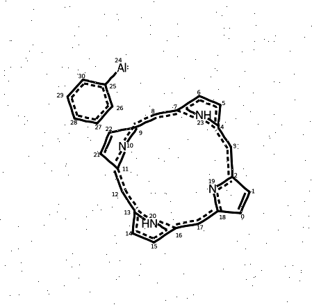 C1=Cc2cc3ccc(cc4nc(cc5ccc(cc1n2)[nH]5)C=C4)[nH]3.[Al][c]1ccccc1